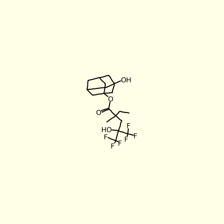 CCC(C)(CC(O)(C(F)(F)F)C(F)(F)F)C(=O)OC12CC3CC(CC(O)(C3)C1)C2